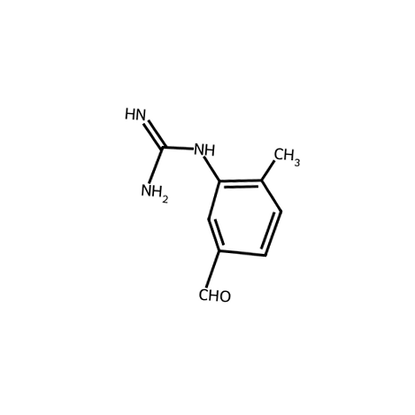 Cc1ccc(C=O)cc1NC(=N)N